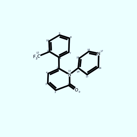 O=c1cccc(-c2ccccc2C(F)(F)F)n1-c1ccncc1